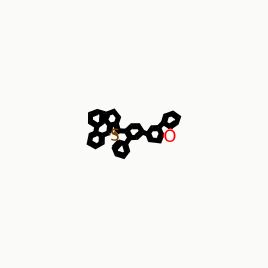 c1cccc(-c2cc(-c3ccc4oc5ccccc5c4c3)ccc2-c2sc(-c3ccccc3-c3ccccc3)c3c2CCC=C3)c#1